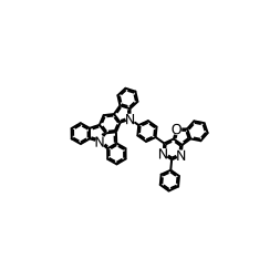 c1ccc(-c2nc(-c3ccc(-n4c5ccccc5c5cc6c7ccccc7n7c8ccccc8c(c54)c67)cc3)c3oc4ccccc4c3n2)cc1